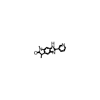 CC1C(=O)N(C)c2cc3[nH]c(-c4cccnc4)nc3cc21